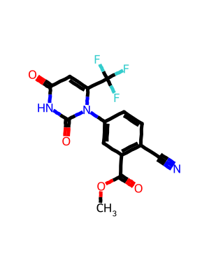 COC(=O)c1cc(-n2c(C(F)(F)F)cc(=O)[nH]c2=O)ccc1C#N